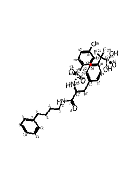 O=C(NCCCCc1ccccc1)C(Cc1ccc(C(F)(F)P(=O)(O)O)cc1)NS(=O)(=O)c1ccc(Cl)cc1